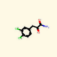 NC(=O)C(=O)Cc1ccc(Cl)c(Cl)c1